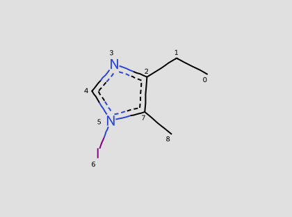 CCc1ncn(I)c1C